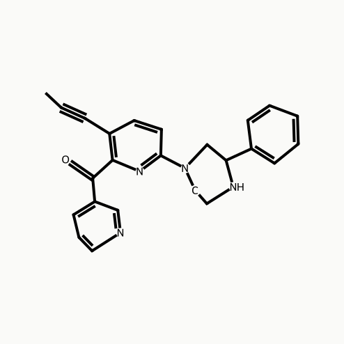 CC#Cc1ccc(N2CCNC(c3ccccc3)C2)nc1C(=O)c1cccnc1